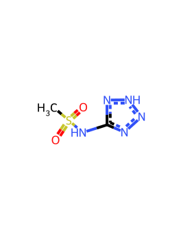 CS(=O)(=O)Nc1nn[nH]n1